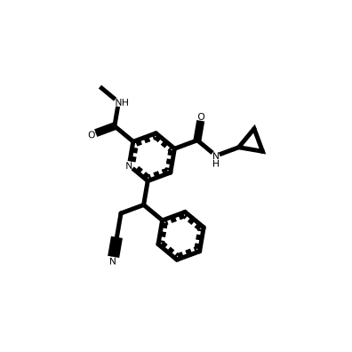 CNC(=O)c1cc(C(=O)NC2CC2)cc(C(CC#N)c2ccccc2)n1